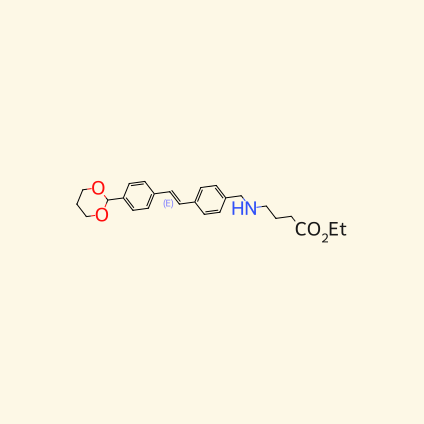 CCOC(=O)CCCNCc1ccc(/C=C/c2ccc(C3OCCCO3)cc2)cc1